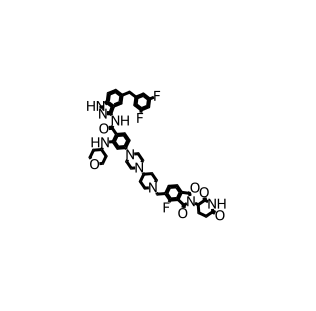 O=C1CCC(N2C(=O)c3ccc(CN4CCC(N5CCN(c6ccc(C(=O)Nc7n[nH]c8ccc(Cc9cc(F)cc(F)c9)cc78)c(NC7CCOCC7)c6)CC5)CC4)c(F)c3C2=O)C(=O)N1